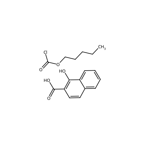 CCCCCOC(=O)Cl.O=C(O)c1ccc2ccccc2c1O